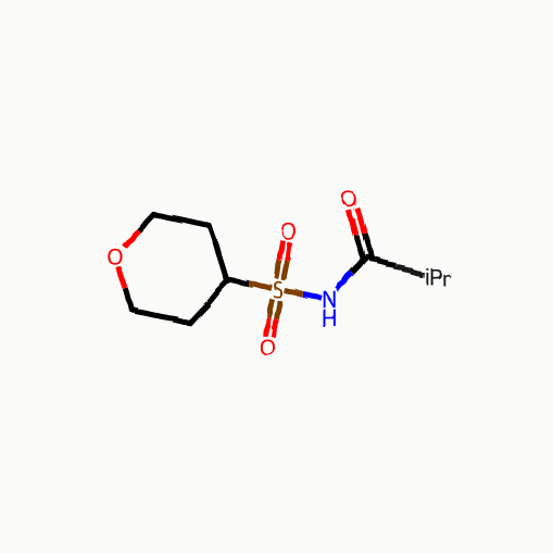 CC(C)C(=O)NS(=O)(=O)C1CCOCC1